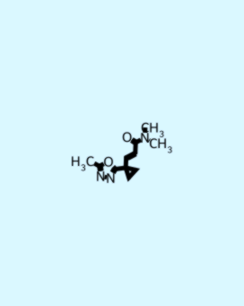 Cc1nnc(C2(C=CC(=O)N(C)C)CC2)o1